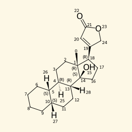 C[C@]12CC[C@@H]3[C@H]4CCCC[C@H]4CC[C@H]3[C@@]1(O)CC[C@@H]2C1=CC(=O)OC1